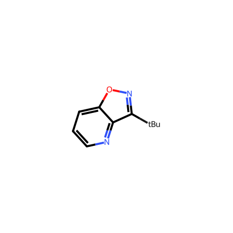 CC(C)(C)c1noc2cccnc12